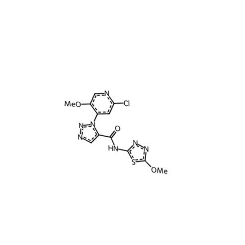 COc1nnc(NC(=O)c2cnnn2-c2cc(Cl)ncc2OC)s1